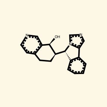 O[C@@H]1c2cnccc2CC[C@@H]1[C@H]1c2ccccc2-c2cncn21